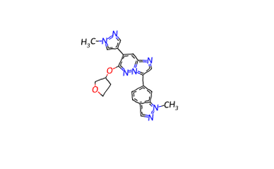 Cn1cc(-c2cc3ncc(-c4ccc5cnn(C)c5c4)n3nc2OC2CCOC2)cn1